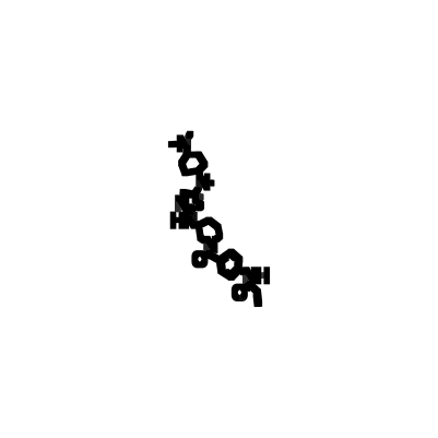 C=CC(=O)Nc1ccc(C(=O)N2CCCC(Nc3ncc(N(C)C4CCC(N(C)C)CC4)s3)C2)cc1